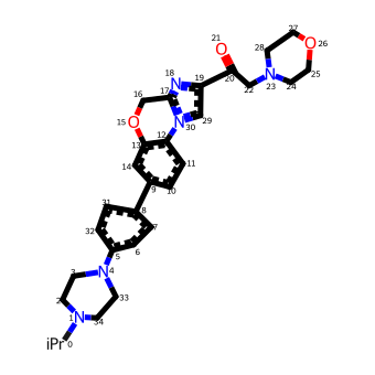 CC(C)N1CCN(c2ccc(-c3ccc4c(c3)OCc3nc(C(=O)CN5CCOCC5)cn3-4)cc2)CC1